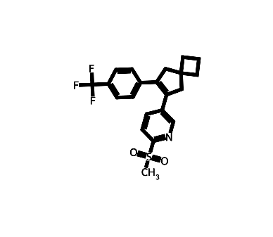 CS(=O)(=O)c1ccc(C2=C(c3ccc(C(F)(F)F)cc3)CC3(CCC3)C2)cn1